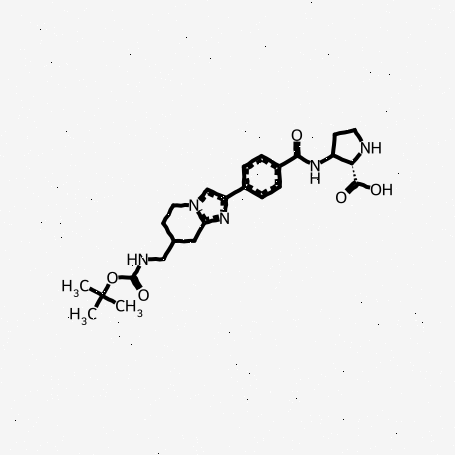 CC(C)(C)OC(=O)NCC1CCn2cc(-c3ccc(C(=O)NC4CCN[C@@H]4C(=O)O)cc3)nc2C1